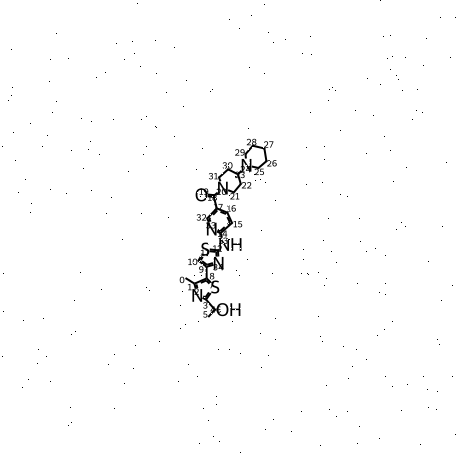 Cc1nc(C(C)O)sc1-c1csc(Nc2ccc(C(=O)N3CCC(N4CCCCC4)CC3)cn2)n1